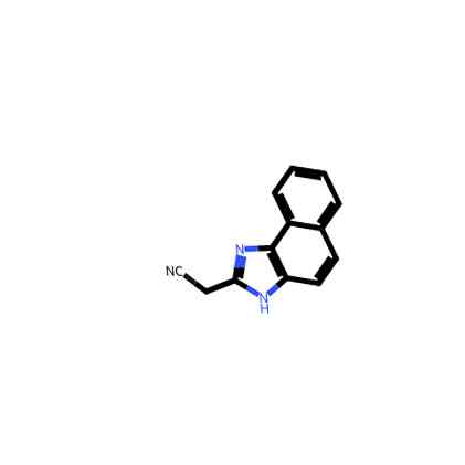 N#CCc1nc2c(ccc3ccccc32)[nH]1